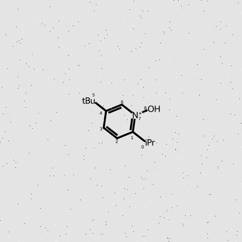 CC(C)c1ccc(C(C)(C)C)c[n+]1O